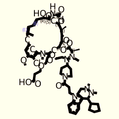 COc1cc2cc(c1Cl)N(C)C(=O)C[C@H](OC(=O)[C@@H](C)N(C)N(CCOCCOCCC(=O)O)C1CCN(C(=O)CCn3c4c(c5ccccc53)C(C3CCCC3)N(C)N(C)C4)CC1)[C@]1(C)OC1[C@H](C)[C@@H]1C[C@@](O)(NC(=O)O1)[C@H](O)/C=C/C=C(\C)C2